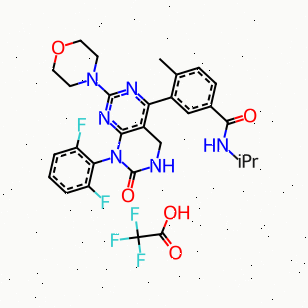 Cc1ccc(C(=O)NC(C)C)cc1-c1nc(N2CCOCC2)nc2c1CNC(=O)N2c1c(F)cccc1F.O=C(O)C(F)(F)F